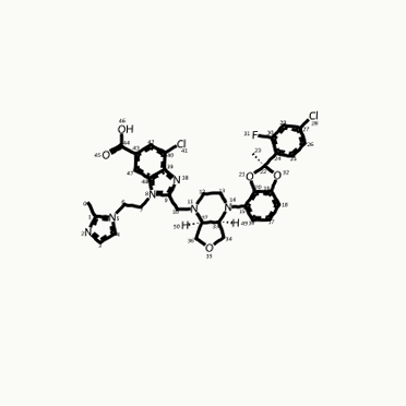 Cc1nccn1CCn1c(CN2CCN(c3cccc4c3O[C@@](C)(c3ccc(Cl)cc3F)O4)[C@H]3COC[C@H]32)nc2c(Cl)cc(C(=O)O)cc21